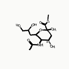 COC(=O)C1(O)C[C@@H](O)C(NC(C)=O)C(CC(O)CO)O1